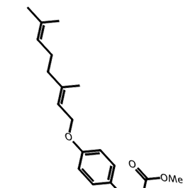 COC(=O)/C=C\c1ccc(OC/C=C(\C)CCC=C(C)C)cc1